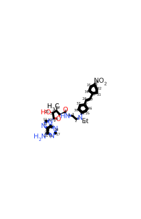 CCN(CCNC(=O)[C@H]1O[C@@H](n2cnc3c(N)ncnc32)[C@H](O)[C@@H]1C)c1ccc(/C=C/c2ccc([N+](=O)[O-])cc2)cc1